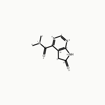 CN(C)C(=O)c1ncnc2c1CC(=O)N2